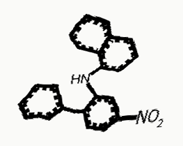 O=[N+]([O-])c1ccc(-c2ccccc2)c(Nc2cccc3ccccc23)c1